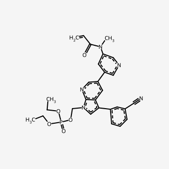 C=CC(=O)N(C)c1cncc(-c2cnc3c(c2)c(-c2cccc(C#N)c2)cn3COP(=O)(OCC)OCC)c1